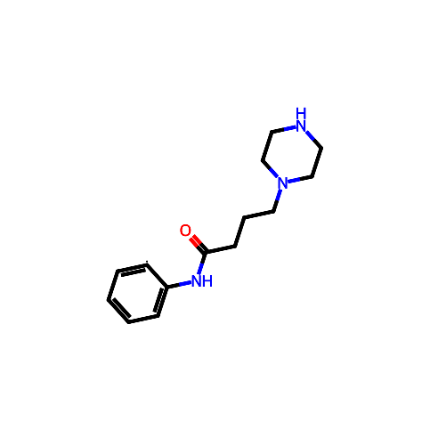 O=C(CCCN1CCNCC1)Nc1[c]cccc1